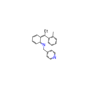 CC/C(=C1\C=CC=C\C1=N/Cc1ccncc1)c1ccccc1C